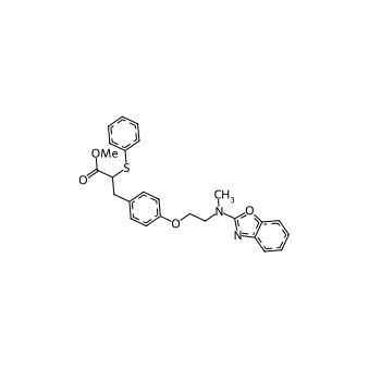 COC(=O)C(Cc1ccc(OCCN(C)c2nc3ccccc3o2)cc1)Sc1ccccc1